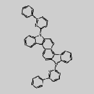 c1ccc(-c2cccc(-n3c4ccccc4c4c5ccc6c(c5ccc43)c3ccccc3n6-c3cccc(-c4ccccc4)n3)n2)cc1